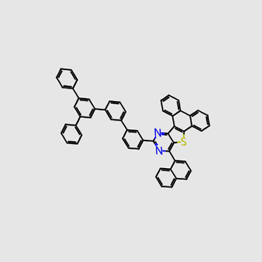 c1ccc(-c2cc(-c3ccccc3)cc(-c3cccc(-c4cccc(-c5nc(-c6cccc7ccccc67)c6sc7c8ccccc8c8ccccc8c7c6n5)c4)c3)c2)cc1